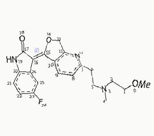 COCCN(C)CCc1ccc2c(n1)CO/C2=C1\C(=O)Nc2ccc(F)cc21